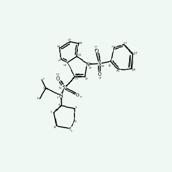 CC(C)N(C1CCSCC1)S(=O)(=O)c1cn(S(=O)(=O)c2ccccc2)c2ccccc12